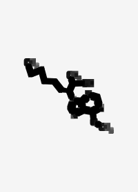 CCCCCC[C@@H](C(C)O)n1cnc2c(OC)ncnc21